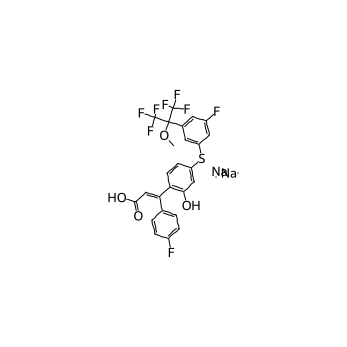 COC(c1cc(F)cc(Sc2ccc(C(=CC(=O)O)c3ccc(F)cc3)c(O)c2)c1)(C(F)(F)F)C(F)(F)F.[Na].[Na]